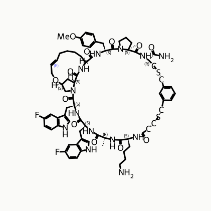 COc1ccc(C[C@@H]2NC(=O)[C@@H]3CCCC/C=C/CO[C@H]4C[C@@H](C(=O)N3)N(C4)C(=O)[C@H](Cc3c[nH]c4ccc(F)cc34)NC(=O)[C@H](Cc3c[nH]c4ccc(F)cc34)NC(=O)[C@@H](C)NC(=O)[C@H](CCCCN)NC(=O)CCSCc3cccc(c3)CSC[C@@H](C(N)=O)NC(=O)[C@]3(C)CCCN3C2=O)cc1